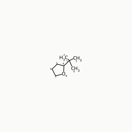 CC(C)(C)C1CCCO1